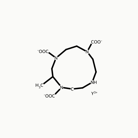 CC1CN(C(=O)[O-])CCN(C(=O)[O-])CCNCCN1C(=O)[O-].[Y+3]